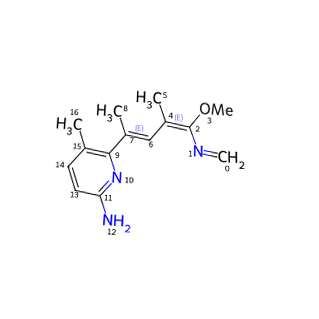 C=N/C(OC)=C(C)\C=C(/C)c1nc(N)ccc1C